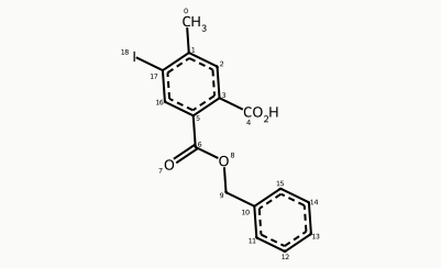 Cc1cc(C(=O)O)c(C(=O)OCc2ccccc2)cc1I